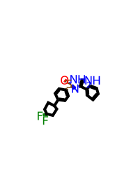 NS(=O)(=Nc1c[nH]c2ccccc12)c1ccc(C2CCC(F)(F)CC2)cc1